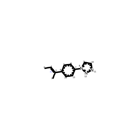 C/C=C(\C)c1ccc(-n2ccnn2)cc1